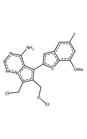 CCOCc1c(-c2cc3cc(C)cc(OC)c3s2)c2c(N)ncnn2c1CCl